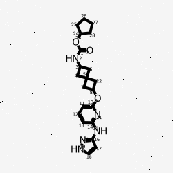 O=C(NC1CC2(C1)CC(Oc1cccc(Nc3cc[nH]n3)n1)C2)OC1CCCC1